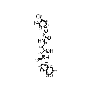 O=C(COc1ccc(Cl)c(F)c1)NCC[C@H](O)CNC(=O)[C@H]1COc2ccccc2O1